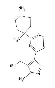 Cn1ncc(-c2ccnc(C3(N)CCC(N)CC3)n2)c1CC(C)(C)C